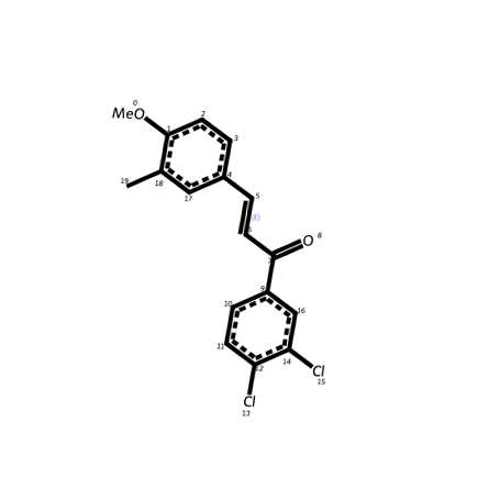 COc1ccc(/C=C/C(=O)c2ccc(Cl)c(Cl)c2)cc1C